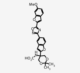 COc1ccc2cc(-c3nc(-c4ccc5oc(C6(NC(=O)O)COC(C)(C)OC6)cc5c4)no3)oc2c1